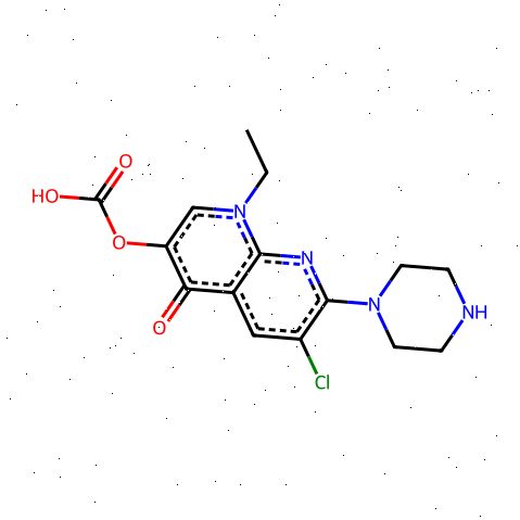 CCn1cc(OC(=O)O)c(=O)c2cc(Cl)c(N3CCNCC3)nc21